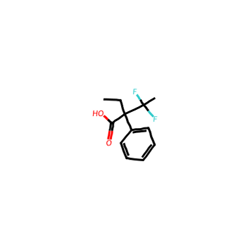 CCC(C(=O)O)(c1ccccc1)C(C)(F)F